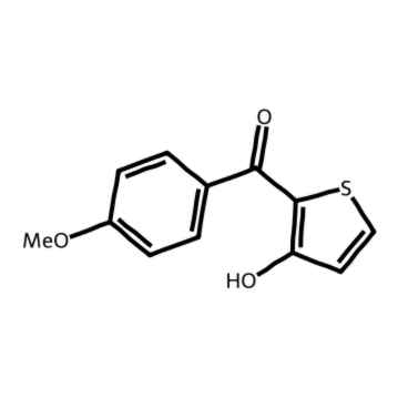 COc1ccc(C(=O)c2sccc2O)cc1